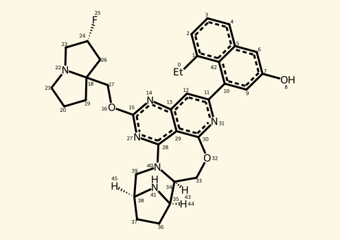 CCc1cccc2cc(O)cc(-c3cc4nc(OCC56CCCN5C[C@H](F)C6)nc5c4c(n3)OC[C@H]3[C@H]4CC[C@@H](CN53)N4)c12